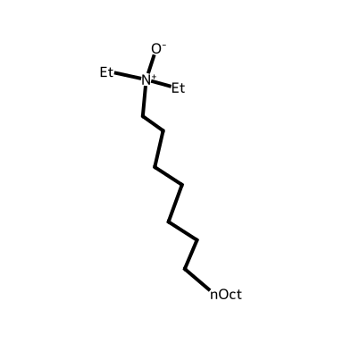 CCCCCCCCCCCCCCC[N+]([O-])(CC)CC